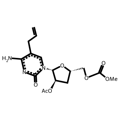 C=CCc1cn([C@@H]2O[C@H](COC(=O)OC)C[C@H]2OC(C)=O)c(=O)nc1N